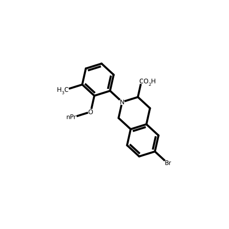 CCCOc1c(C)cccc1N1Cc2ccc(Br)cc2CC1C(=O)O